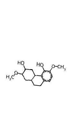 COc1ccc2c(c1O)C1CC(O)C(OC)CC1CC2